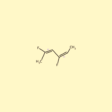 C/C=C(F)\C=C(/C)F